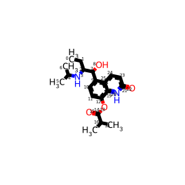 CCC(NC(C)C)C(O)c1ccc(OC(=O)C(C)C)c2[nH]c(=O)ccc12